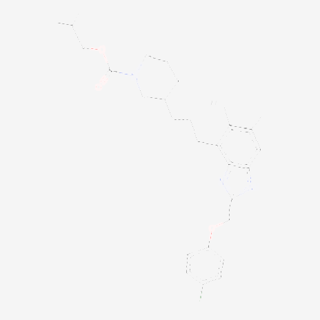 Cc1cc2[nH]c(COc3ccc(Cl)cc3)nc2c(CCCC2CCCN(C(=O)OCC(C)C)C2)c1C